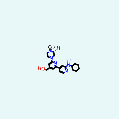 O=C(O)N1CCN(c2cc(CO)cc(-c3ccnc(NC4CCCCC4)c3)n2)CC1